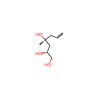 C=CC[C@@](C)(O)C[C@H](O)CO